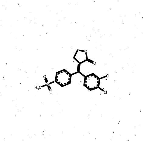 CS(=O)(=O)c1ccc(/C(=C2\CCOC2=O)c2ccc(Cl)c(Cl)c2)cc1